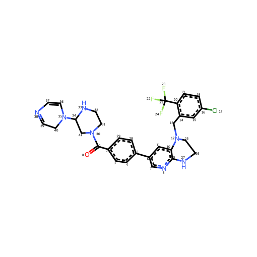 O=C(c1ccc(-c2cnc3c(c2)N(Cc2cc(Cl)ccc2C(F)(F)F)CCN3)cc1)N1CCNC(N2C=CN=CC2)C1